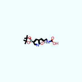 CC1(C)OB(c2cnc3oc(CNC(=O)O)cc3c2)OC1(C)C